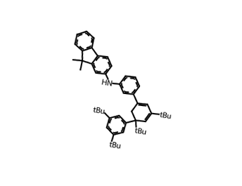 CC(C)(C)C1=CC(c2cc(C(C)(C)C)cc(C(C)(C)C)c2)(C(C)(C)C)CC(c2cccc(Nc3ccc4c(c3)C(C)(C)c3ccccc3-4)c2)=C1